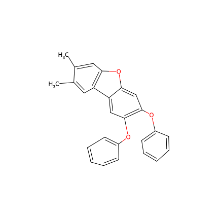 Cc1cc2oc3cc(Oc4ccccc4)c(Oc4ccccc4)cc3c2cc1C